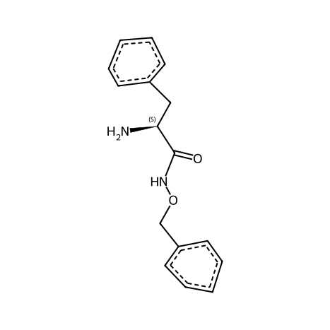 N[C@@H](Cc1ccccc1)C(=O)NOCc1ccccc1